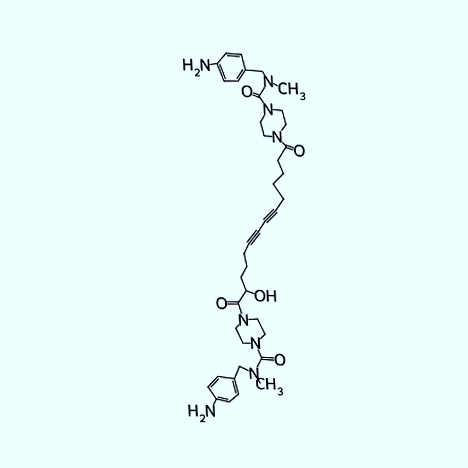 CN(Cc1ccc(N)cc1)C(=O)N1CCN(C(=O)CCCCC#CC#CCCCC(O)C(=O)N2CCN(C(=O)N(C)Cc3ccc(N)cc3)CC2)CC1